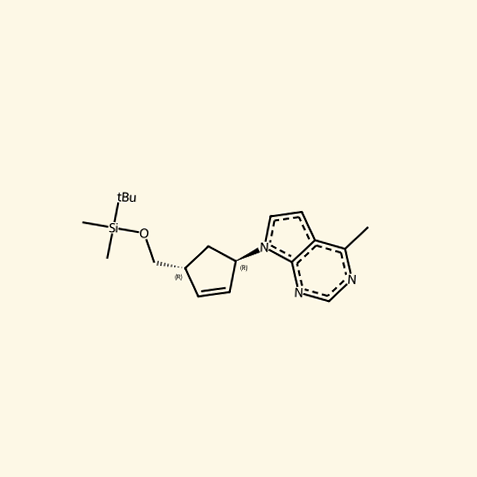 Cc1ncnc2c1ccn2[C@H]1C=C[C@H](CO[Si](C)(C)C(C)(C)C)C1